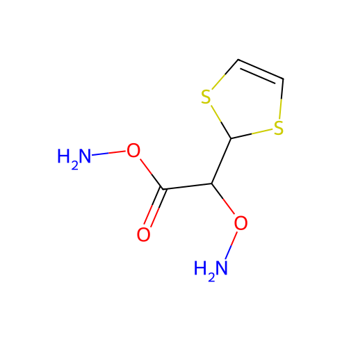 NOC(=O)C(ON)C1SC=CS1